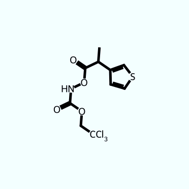 CC(C(=O)ONC(=O)OCC(Cl)(Cl)Cl)c1ccsc1